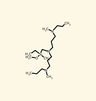 CCCN(C)CCCN(CCCN(C)CCC)C[Si](C)(CC)OC